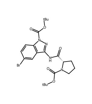 CC(C)(C)OC(=O)N1CCC[C@H]1C(=O)Nc1nn(C(=O)OC(C)(C)C)c2ccc(Br)cc12